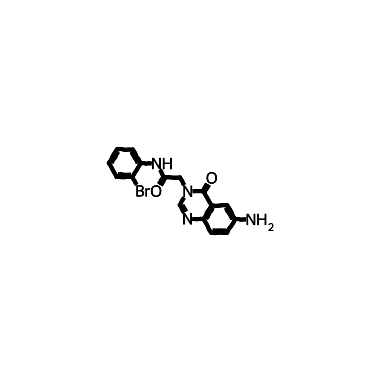 Nc1ccc2ncn(CC(=O)Nc3ccccc3Br)c(=O)c2c1